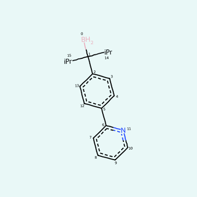 BC(c1ccc(-c2ccccn2)cc1)(C(C)C)C(C)C